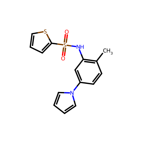 Cc1ccc(-n2cccc2)cc1NS(=O)(=O)c1cccs1